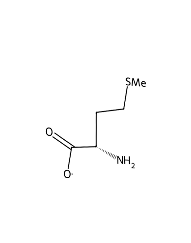 CSCC[C@H](N)C([O])=O